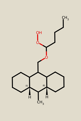 CCCCC(OO)OCC1C2CCCC[C@H]2C(C)[C@H]2CCCCC12